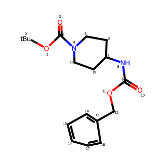 CC(C)(C)OC(=O)N1CCC(NC(=O)OCc2ccccc2)CC1